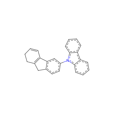 C1=CC2=C(CC1)Cc1ccc(-n3c4ccccc4c4ccccc43)cc12